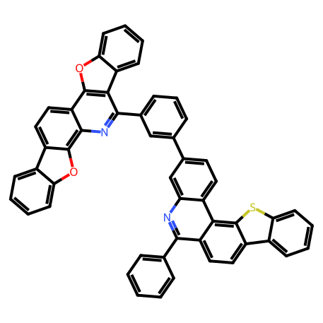 c1ccc(-c2nc3cc(-c4cccc(-c5nc6c(ccc7c8ccccc8oc76)c6oc7ccccc7c56)c4)ccc3c3c2ccc2c4ccccc4sc23)cc1